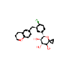 O[C@@H]1[C@@H](O)[C@H](O)C2(CC2)O[C@H]1c1ccc(Cl)c(Cc2ccc3c(c2)CCCO3)c1